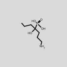 CCCC(O)(CCCN)P(=O)(O)O